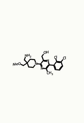 COCC1(CN)CCN(c2nc(C)c(-c3cccc(Cl)c3Cl)nc2CO)CC1